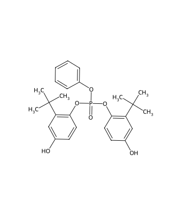 CC(C)(C)c1cc(O)ccc1OP(=O)(Oc1ccccc1)Oc1ccc(O)cc1C(C)(C)C